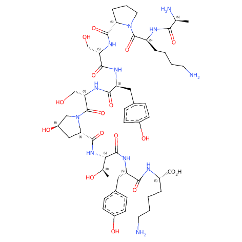 C[C@H](N)C(=O)N[C@@H](CCCCN)C(=O)N1CCC[C@H]1C(=O)N[C@@H](CO)C(=O)N[C@@H](Cc1ccc(O)cc1)C(=O)N[C@@H](CO)C(=O)N1C[C@H](O)C[C@H]1C(=O)N[C@H](C(=O)N[C@@H](Cc1ccc(O)cc1)C(=O)N[C@@H](CCCCN)C(=O)O)[C@@H](C)O